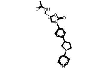 CC(=O)NC[C@H]1CN(c2ccc(C3CCN(c4ccncc4)C3)cc2)C(=O)O1